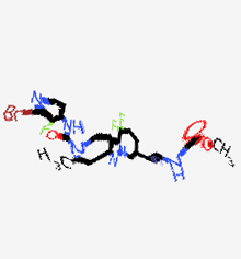 COC(=O)N/C=C/C1CCC(F)(F)c2c3c(nn2C1)C[C@@H](C)N(C(=O)Nc1ccnc(Br)c1F)C3